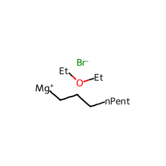 CCCCCCC[CH2][Mg+].CCOCC.[Br-]